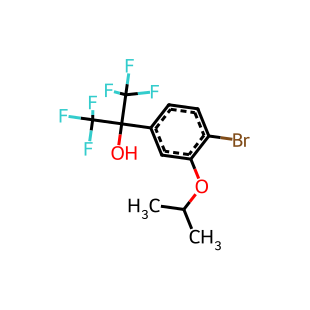 CC(C)Oc1cc(C(O)(C(F)(F)F)C(F)(F)F)ccc1Br